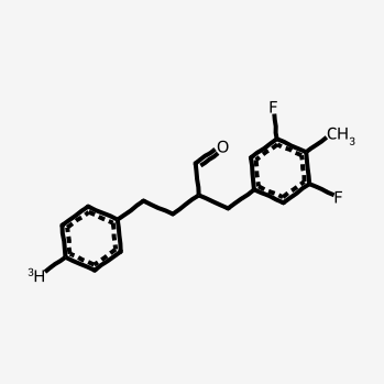 [3H]c1ccc(CCC(C=O)Cc2cc(F)c(C)c(F)c2)cc1